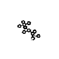 c1ccc(-c2cc(-c3cc4c5cnccc5n(-c5ccccc5)c4c4ccccc34)ccc2-c2ccc3c(-c4ccccc4)c4ccccc4c(-c4ccccc4)c3c2)cc1